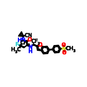 CC(C)(F)C[C@H](N[C@@H](c1cc2ccc(-c3ccc(S(C)(=O)=O)cc3)cc2o1)C(F)(F)F)C(=O)NC1(C#N)CC1